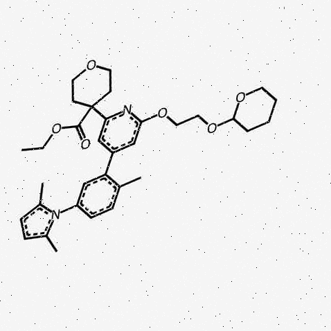 CCOC(=O)C1(c2cc(-c3cc(-n4c(C)ccc4C)ccc3C)cc(OCCOC3CCCCO3)n2)CCOCC1